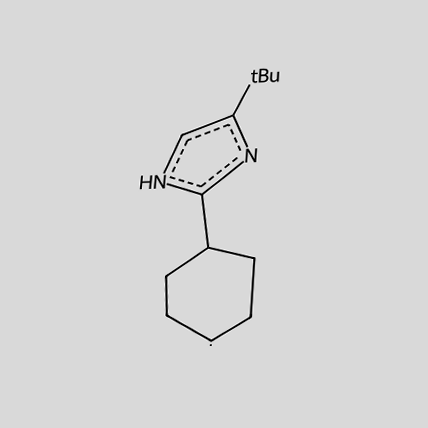 CC(C)(C)c1c[nH]c(C2CC[CH]CC2)n1